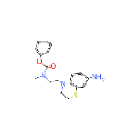 CN(CCN1CCSc2cc(N)ccc21)C(=O)Oc1ccccc1